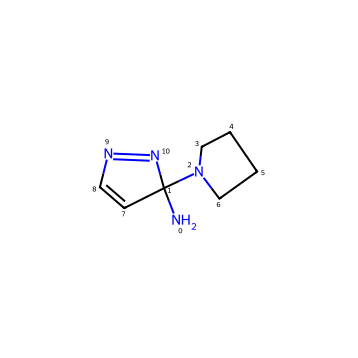 NC1(N2CCCC2)C=CN=N1